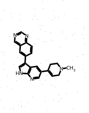 CN1CC=C(c2cnc3[nH]cc(-c4ccc5ncncc5c4)c3c2)CC1